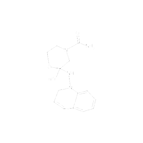 CCCC1(NN2CC=Cc3ccccc32)CN(C(N)=O)CCO1